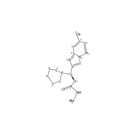 CC(C)(C)NC(=O)O[C@H](c1cn2ncc(C#N)cc2n1)C1CCCCC1